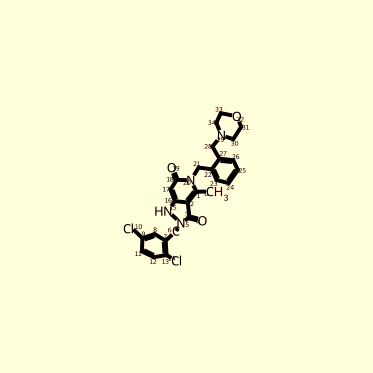 Cc1c2c(=O)n(Cc3cc(Cl)ccc3Cl)[nH]c2cc(=O)n1Cc1ccccc1CN1CCOCC1